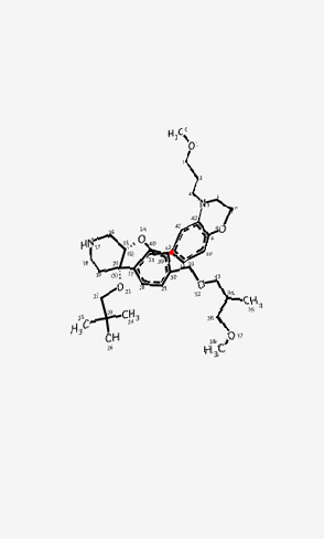 COCCCN1CCOc2ccc(CO[C@H]3CNCC[C@]3(OCC(C)(C)O)c3ccc(COCC(C)COC)cc3)cc21